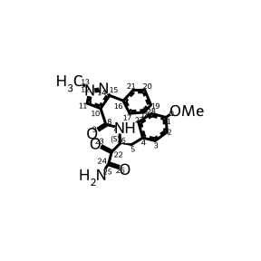 COc1ccc(C[C@H](NC(=O)c2cn(C)nc2-c2ccccc2)C(=O)C(N)=O)cc1